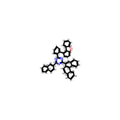 c1ccc(-c2cccc3oc4ccccc4c23)c(-c2nc(-c3ccc4ccccc4c3)nc(-c3cc4ccccc4c4c3ccc3ccccc34)n2)c1